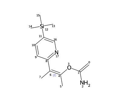 C=C(N)O/C(C)=C(/C)c1ccc([Si](C)(C)C)cn1